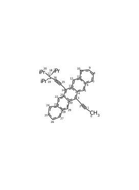 CC#Cc1c2cc3ccccc3cc2c(C#CS(C(C)C)(C(C)C)C(C)C)c2cc3ccccc3cc12